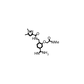 CNC(=O)COc1cc(C(=N)N)ccc1CNC(=O)c1cc(C)n(C)n1